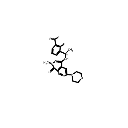 C[C@@H](Nc1nn(C)c(=O)c2nnc(N3CCOCC3)cc12)c1cccc(C(F)F)c1F